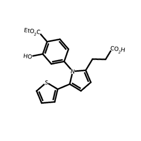 CCOC(=O)c1ccc(-n2c(CCC(=O)O)ccc2-c2cccs2)cc1O